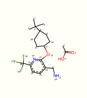 CC(=O)O.CC(C)(C)C1CCC(Oc2nc(C(F)(F)F)ccc2CN)CC1